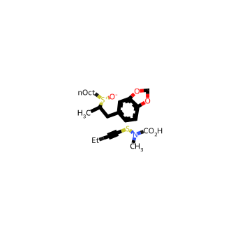 CCC#CSN(C)C(=O)O.CCCCCCCC[S+]([O-])C(C)Cc1ccc2c(c1)OCO2